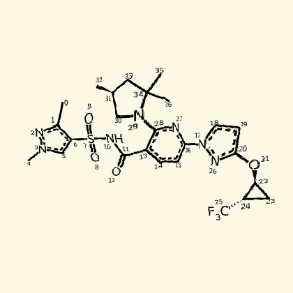 Cc1nn(C)cc1S(=O)(=O)NC(=O)c1ccc(-n2ccc(O[C@H]3C[C@@H]3C(F)(F)F)n2)nc1N1C[C@@H](C)CC1(C)C